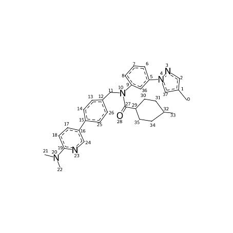 Cc1cnn(-c2cccc(N(Cc3ccc(-c4ccc(N(C)C)nc4)cc3)C(=O)C3CCC(C)CC3)c2)c1